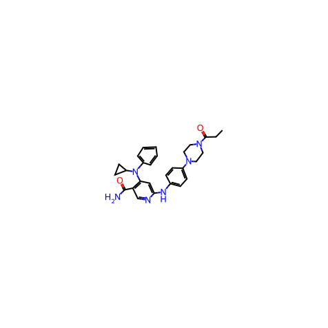 CCC(=O)N1CCN(c2ccc(Nc3cc(N(c4ccccc4)C4CC4)c(C(N)=O)cn3)cc2)CC1